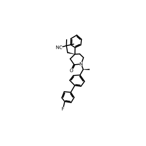 C[C@@H](c1ccc(-c2ccc(F)cc2)cc1)N1CC[C@@](CC(C)(C)C#N)(c2ccccc2)CC1=O